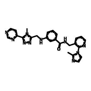 Cc1nccn1-c1ncccc1CNC(=O)c1cccc(NCc2nnc(-c3ccncn3)n2C)c1